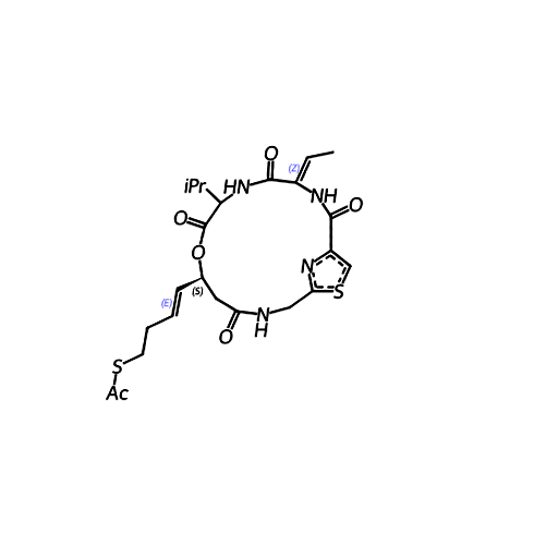 C/C=C1\NC(=O)c2csc(n2)CNC(=O)C[C@@H](/C=C/CCSC(C)=O)OC(=O)C(C(C)C)NC1=O